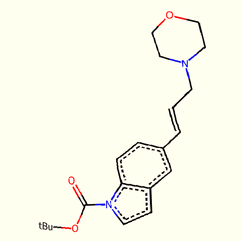 CC(C)(C)OC(=O)n1ccc2cc(/C=C/CN3CCOCC3)ccc21